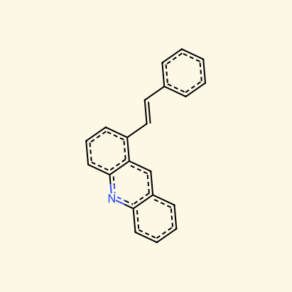 C(=C\c1cccc2nc3ccccc3cc12)/c1ccccc1